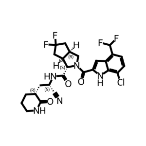 N#C[C@H](C[C@H]1CCCNC1=O)NC(=O)[C@@H]1[C@H]2CC(F)(F)C[C@H]2CN1C(=O)c1cc2c(C(F)F)ccc(Cl)c2[nH]1